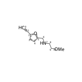 C#Cc1ccc(CNCCOC)o1